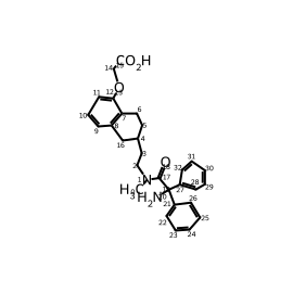 CN(CCC1CCc2c(cccc2OCC(=O)O)C1)C(=O)C(N)(c1ccccc1)c1ccccc1